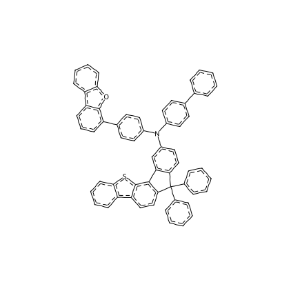 c1ccc(-c2ccc(N(c3ccc(-c4cccc5c4oc4ccccc45)cc3)c3ccc4c(c3)-c3c(ccc5c3sc3ccccc35)C4(c3ccccc3)c3ccccc3)cc2)cc1